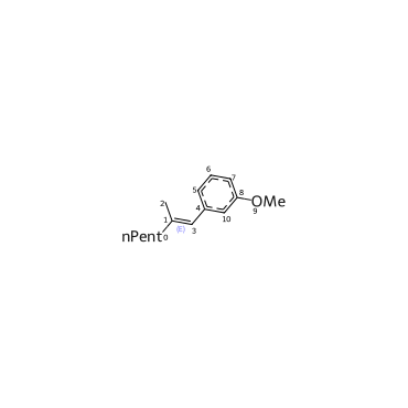 CCCCC/C(C)=C/c1cccc(OC)c1